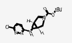 CC(C)(C)OC(=O)N1C[C@@H]2C(Nc3ccc(Cl)nn3)[C@@H]2C1